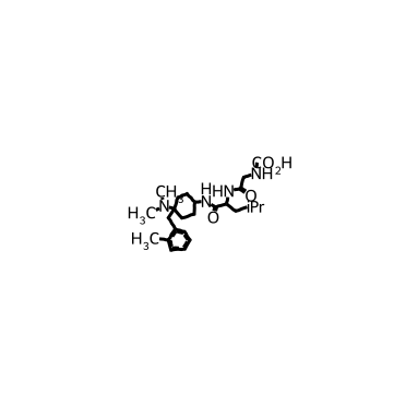 Cc1ccccc1CC1(N(C)C)CCC(NC(=O)C(CC(C)C)NC(=O)CNC(=O)O)CC1